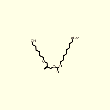 C=C(COCCCCCCO)COC(=O)OCCCCCCCCCCCCCCCCCC